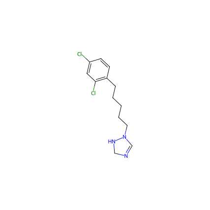 Clc1ccc(CCCCCN2C=NCN2)c(Cl)c1